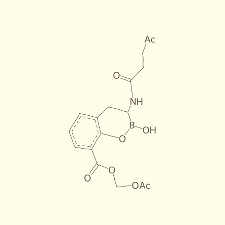 CC(=O)CCC(=O)NC1Cc2cccc(C(=O)OCOC(C)=O)c2OB1O